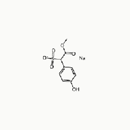 COC(=O)C(c1ccc(O)cc1)S(=O)(=O)[O-].[Na+]